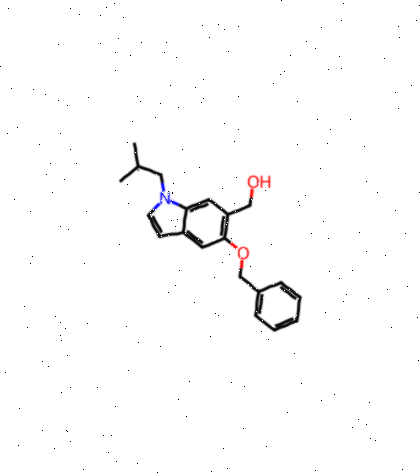 C[C](C)Cn1ccc2cc(OCc3ccccc3)c(CO)cc21